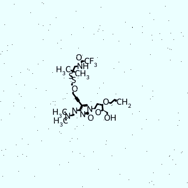 C=CCOC1C[C@H](n2cc(C#CCOCSSC(C)(C)CNC(=O)C(F)(F)F)c(/N=C/N(C)C)nc2=O)O[C@@H]1CO